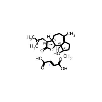 CC1=C2CC[C@@](C)(O)[C@@H]2[C@H]2OC(=O)[C@@H](CN(C)C)[C@@H]2CC1.O=C(O)/C=C/C(=O)O